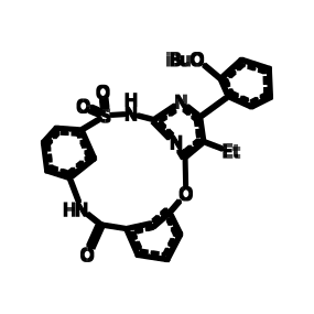 CCc1c2nc(nc1-c1ccccc1OCC(C)C)NS(=O)(=O)c1cccc(c1)NC(=O)c1cccc(c1)O2